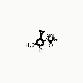 Bc1cc(C2CC2)c(-n2nnn(C)c2=O)cc1C(C)C